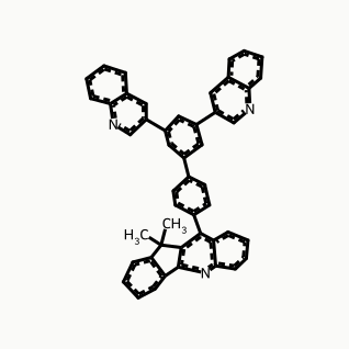 CC1(C)c2ccccc2-c2nc3ccccc3c(-c3ccc(-c4cc(-c5cnc6ccccc6c5)cc(-c5cnc6ccccc6c5)c4)cc3)c21